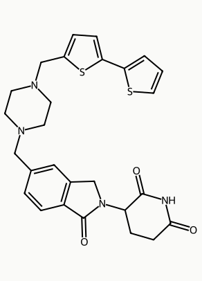 O=C1CCC(N2Cc3cc(CN4CCN(Cc5ccc(-c6cccs6)s5)CC4)ccc3C2=O)C(=O)N1